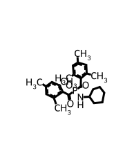 Cc1cc(C)c(C(=O)P(=O)(NC2CCCCC2)C(=O)c2c(C)cc(C)cc2C)c(C)c1